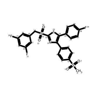 CS(=O)(=O)c1ccc(-c2nc(S(=O)(=O)Cc3cc(F)cc(F)c3)sc2-c2ccc(F)cc2)cc1